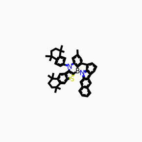 Cc1cc2c3c(c1)N(c1ccc4c(c1)C(C)(C)CCC4(C)C)c1c(sc4cc5c(cc14)C(C)(C)CCC5(C)C)B3n1c3cc4ccccc4cc3c3cccc-2c31